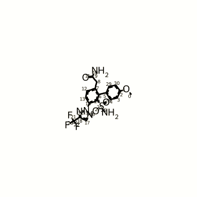 COc1ccc(-c2c(CC(N)=O)ccc(-n3ncc(C(F)(F)F)n3)c2S(N)(=O)=O)cc1